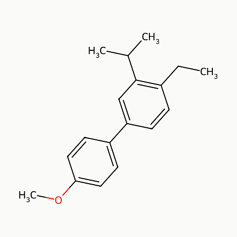 CCc1ccc(-c2ccc(OC)cc2)cc1C(C)C